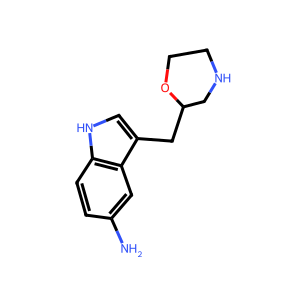 Nc1ccc2[nH]cc(CC3CNCCO3)c2c1